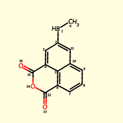 CBc1cc2c3c(cccc3c1)C(=O)OC2=O